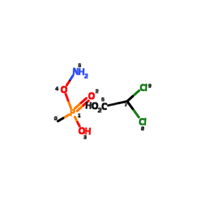 CP(=O)(O)ON.O=C(O)C(Cl)Cl